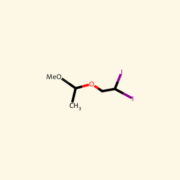 COC(C)OCC(I)I